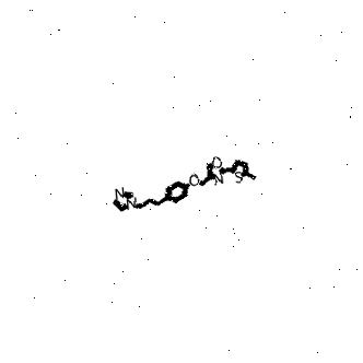 Cc1ccc(-c2nc(COc3ccc(CCCn4ccnc4)cc3)co2)s1